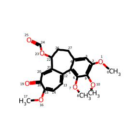 COc1cc2c(c(OC)c1OC)-c1ccc(OC)c(=O)cc1C(OC=O)CC2